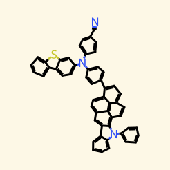 N#Cc1ccc(N(c2ccc(-c3ccc4ccc5c6c(ccc3c46)cc3c4ccccc4n(-c4ccccc4)c35)cc2)c2ccc3c(c2)sc2ccccc23)cc1